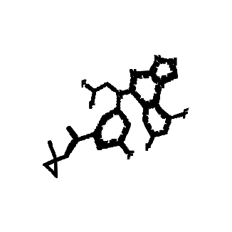 CC(=CC1(C)CC1)c1cc(F)cc(N(CC(F)F)c2nc3nncn3c3c(F)cc(F)cc23)c1